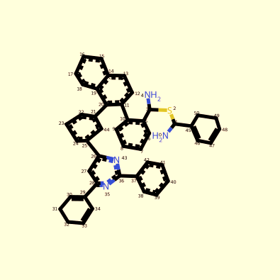 NC(SC(N)c1ccccc1-c1ccc2ccccc2c1-c1cccc(-c2cc(C3=CCCC=C3)nc(-c3ccccc3)n2)c1)C1=CC=CCC1